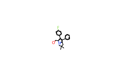 CC1(C)Cc2c(-c3ccccc3)c(-c3ccc(F)cc3)c(C=O)n2C1